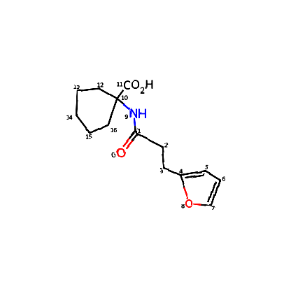 O=C(CCc1ccco1)NC1(C(=O)O)CCCCC1